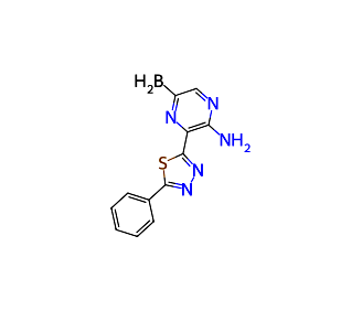 Bc1cnc(N)c(-c2nnc(-c3ccccc3)s2)n1